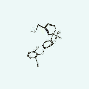 CCS(=O)(=O)[N+]1(c2ccc(Oc3c(Cl)cccc3Cl)cc2)C=C(CN)C=CC1